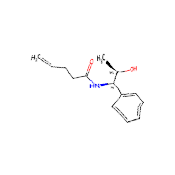 C=CCCC(=O)N[C@H](c1ccccc1)[C@@H](C)O